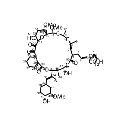 C=CC.C=CC[C@@H]1/C=C(\C)C[C@H](C)C[C@H](OC)[C@H]2O[C@@](O)(C(=O)C(=O)N3CCCC[C@H]3C(=O)O[C@H](/C(C)=C/C3CC[C@@H](O)[C@H](OC)C3)[C@H](C)[C@@H](O)CC1=O)[C@H](C)C[C@@H]2OC.O=C(O)O